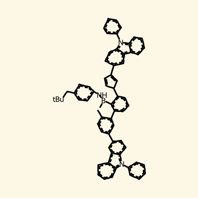 CB(Nc1ccc(CC(C)(C)C)cc1)c1c(-c2cc(-c3ccc4c(c3)c3ccccc3n4-c3ccccc3)ccc2C)cccc1C1C=CC(c2ccc3c(c2)c2ccccc2n3-c2ccccc2)=C1